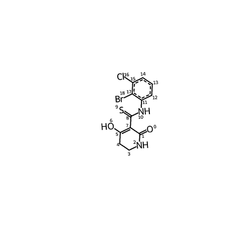 O=C1NCCC(O)=C1C(=S)Nc1cccc(Cl)c1Br